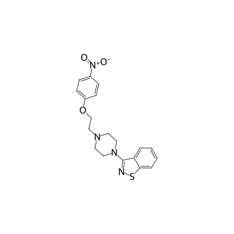 O=[N+]([O-])c1ccc(OCCN2CCN(c3nsc4ccccc34)CC2)cc1